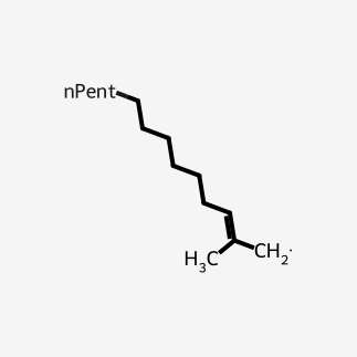 [CH2]C(C)=CCCCCCCCCCCC